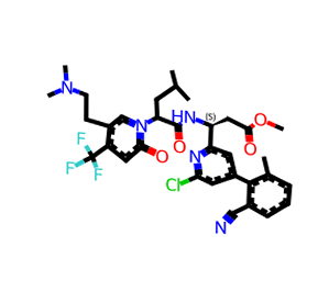 COC(=O)C[C@H](NC(=O)C(CC(C)C)n1cc(CCN(C)C)c(C(F)(F)F)cc1=O)c1cc(-c2c(C)cccc2C#N)cc(Cl)n1